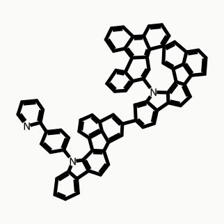 c1ccc(-c2ccc(-n3c4ccccc4c4ccc5c(c43)-c3cccc4cc(-c6ccc7c8ccc9c(c8n(-c8cc%10c%11ccccc%11c%11ccccc%11c%10c%10ccccc8%10)c7c6)-c6cccc7cccc-9c67)cc-5c34)cc2)nc1